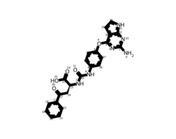 Nc1nc(Oc2ccc(NC(=O)N[C@@H](CC(=O)c3ccccc3)C(=O)O)cc2)c2cc[nH]c2n1